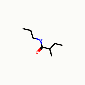 [CH2]CCNC(=O)C(C)CC